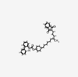 CN(CCCCCCN1CCC(OC(=O)Nc2ccccc2-c2ccccc2)CC1)CCCN1C(=O)c2ccccc2C1=O